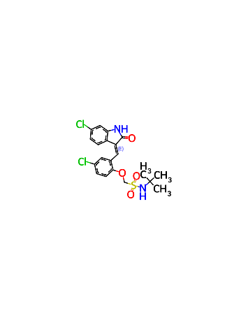 CC(C)(C)NS(=O)(=O)COc1ccc(Cl)cc1/C=C1/C(=O)Nc2cc(Cl)ccc21